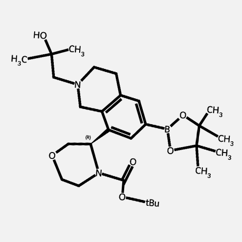 CC(C)(O)CN1CCc2cc(B3OC(C)(C)C(C)(C)O3)cc([C@@H]3COCCN3C(=O)OC(C)(C)C)c2C1